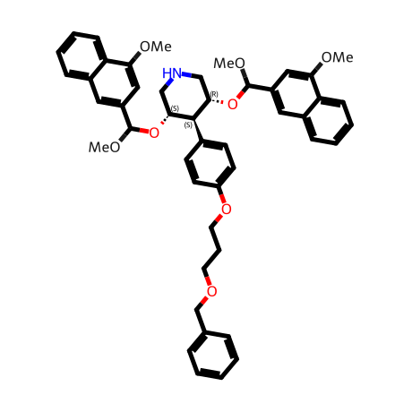 COc1cc(C(OC)O[C@H]2CNC[C@@H](OC(OC)c3cc(OC)c4ccccc4c3)[C@@H]2c2ccc(OCCCOCc3ccccc3)cc2)cc2ccccc12